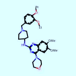 CCOc1cc(CN2CCC(Nc3nc(N4CCOCC4)c4cc(OC)c(OC)cc4n3)CC2)ccc1OC(C)C